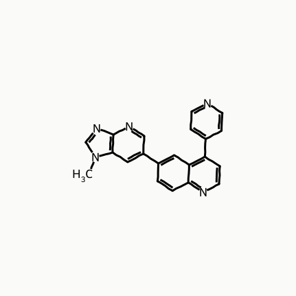 Cn1cnc2ncc(-c3ccc4nccc(-c5ccncc5)c4c3)cc21